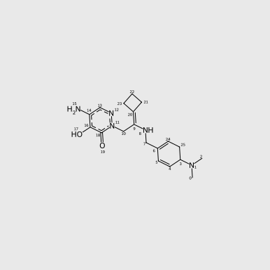 CN(C)C1C=CC(CNC(Cn2ncc(N)c(O)c2=O)=C2CCC2)=CC1